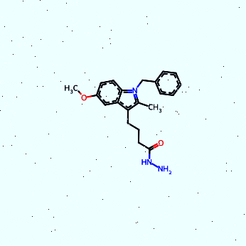 COc1ccc2c(c1)c(CCCC(=O)NN)c(C)n2Cc1ccccc1